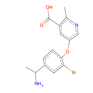 Cc1ncc(Oc2ccc(C(C)N)cc2Br)cc1C(=O)O